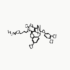 Cn1c(=O)n(CCCON)c(=O)c2c1nc(Oc1ccc(Cl)c(Cl)c1)n2Cc1ccc(Cl)cc1